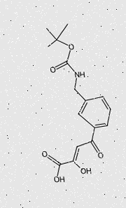 CC(C)(C)OC(=O)NCc1cccc(C(=O)C=C(O)C(=O)O)c1